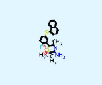 C[C@H]1N=C(N)C(C)(C)S(=O)(=O)C1c1cc(Sc2cccc3ccccc23)ccc1F